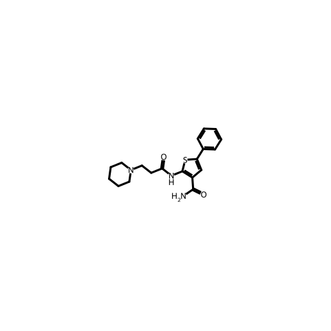 NC(=O)c1cc(-c2ccccc2)sc1NC(=O)CCN1CCCCC1